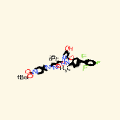 CC(C)[C@@H](C(=O)N1C[C@H](O)C[C@H]1C(=O)N[C@@H](C)c1ccc(-c2c(F)cc(F)cc2F)cc1)c1cc(N2CC3(CCN(C(=O)OC(C)(C)C)CC3)C2)no1